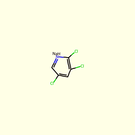 Clc1cnc(Cl)c(Cl)c1.[NaH]